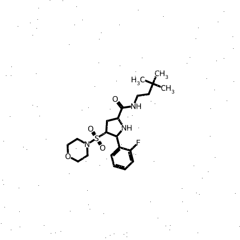 CC(C)(C)CCNC(=O)C1CC(S(=O)(=O)N2CCOCC2)C(c2ccccc2F)N1